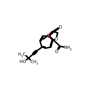 CC(C)(O)C#CC1=CC=C2OCC3C(=O)SC(C(N)=O)=NC23C=C1